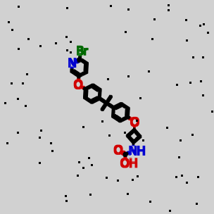 CC(C)(c1ccc(Oc2ccc(Br)nc2)cc1)c1ccc(O[C@H]2C[C@@H](NC(=O)O)C2)cc1